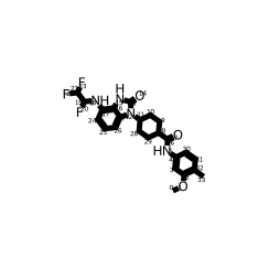 COc1cc(NC(=O)C2CCC(n3c(=O)[nH]c4c(NC(F)C(F)F)cccc43)CC2)ccc1C